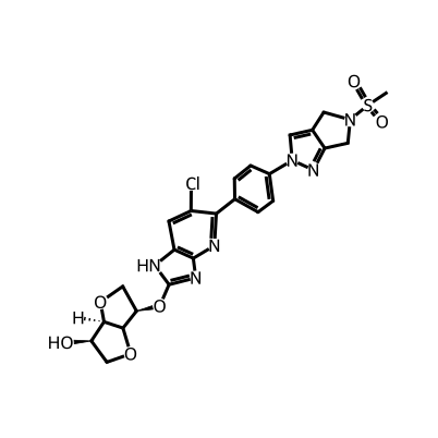 CS(=O)(=O)N1Cc2cn(-c3ccc(-c4nc5nc(O[C@@H]6CO[C@H]7C6OC[C@H]7O)[nH]c5cc4Cl)cc3)nc2C1